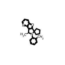 Cc1ccccc1N1[C@@H](C)c2c(oc3cccnc23)C12CCCC2